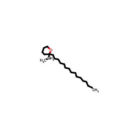 CCCCCCCCCCCCCCCCC1([SiH2]C)CCCCO1